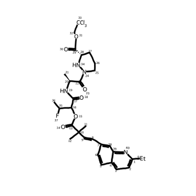 CCc1ccc2ccc(/C=C/C(C)(C)C(=O)OC(C(=O)N[C@@H](C)C(=O)N3CCC[C@@H](C(=O)OCC(Cl)(Cl)Cl)N3)C(C)F)cc2n1